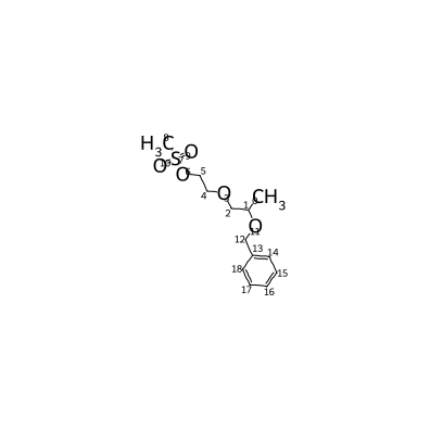 CC(COCCOS(C)(=O)=O)OCc1ccccc1